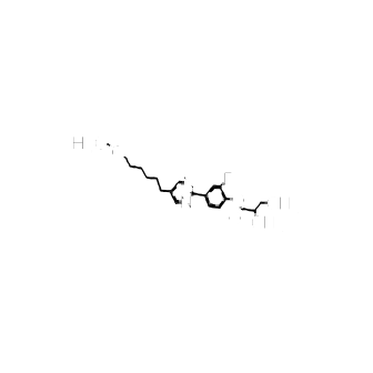 CCCCCCCCCc1cnc(-c2ccc(OC(=O)C(C)CC)c(F)c2)nc1